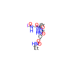 CCC(C)(C)CNC(=O)OCc1ccc(NC(=O)[C@H](C)NC(=O)[C@@H](NC(=O)CCNC(=O)CI)C(C)C)cc1